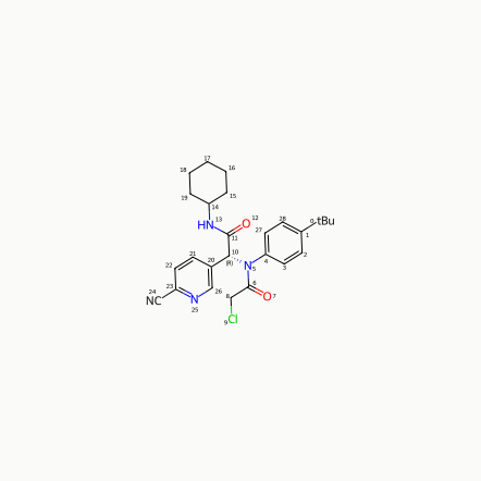 CC(C)(C)c1ccc(N(C(=O)CCl)[C@@H](C(=O)NC2CCCCC2)c2ccc(C#N)nc2)cc1